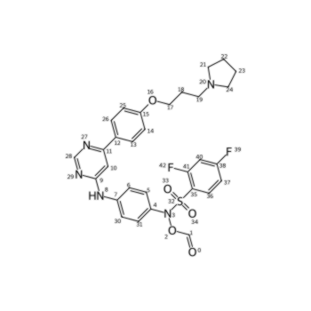 O=CON(c1ccc(Nc2cc(-c3ccc(OCCCN4CCCC4)cc3)ncn2)cc1)S(=O)(=O)c1ccc(F)cc1F